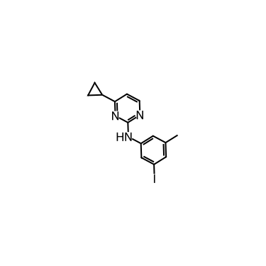 Cc1cc(I)cc(Nc2nccc(C3CC3)n2)c1